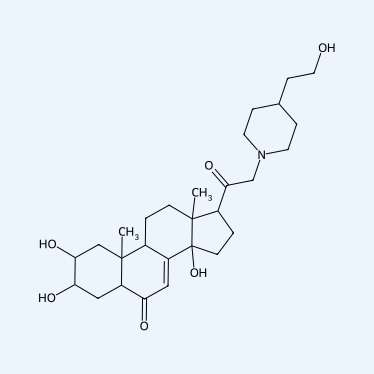 CC12CC(O)C(O)CC1C(=O)C=C1C2CCC2(C)C(C(=O)CN3CCC(CCO)CC3)CCC12O